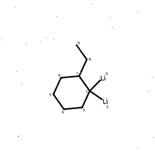 [Li][C]1([Li])CCCCC1CC